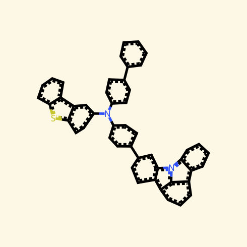 c1ccc(-c2ccc(N(c3ccc(-c4ccc5c6cccc7c8ccccc8n(c5c4)c76)cc3)c3ccc4sc5ccccc5c4c3)cc2)cc1